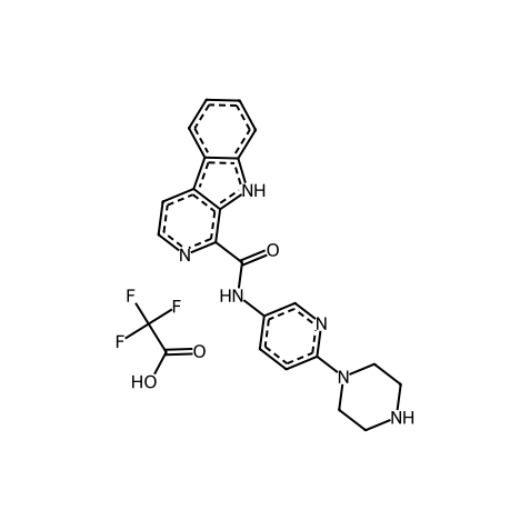 O=C(Nc1ccc(N2CCNCC2)nc1)c1nccc2c1[nH]c1ccccc12.O=C(O)C(F)(F)F